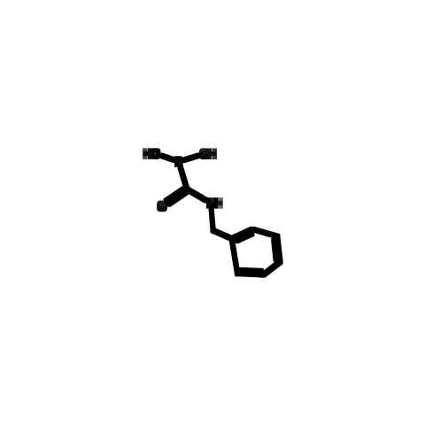 O=C(NCc1ccccc1)B(O)O